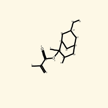 C=C(C)C(=O)OC1(C)C(C)CC2CC(CC)CC1C2